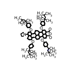 C=C(C)CC(C)(C)c1ccc(Oc2cc(N3CCCC3)c3ccc(Oc4ccc(C(C)(C)CC(C)(C)C)cc4)c4c5ccc6c7c(Oc8ccc(/C(C)=C/C(C)(C)C)cc8)cc8c9c(cc(Oc%10ccc(C(C)(C)CC(C)(C)C)cc%10)c(c%10ccc(c2c34)c5c6%10)c97)C(=O)OC8=O)cc1